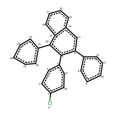 Clc1ccc(-c2c(-c3ccccc3)cc3ccccc3c2-c2ccccc2)cc1